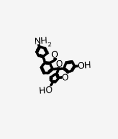 Nc1ccc(-c2cccc3c2C(=O)OC32c3ccc(O)cc3Oc3cc(O)ccc32)cc1